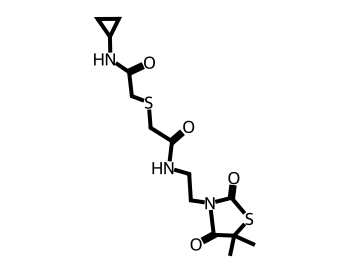 CC1(C)SC(=O)N(CCNC(=O)CSCC(=O)NC2CC2)C1=O